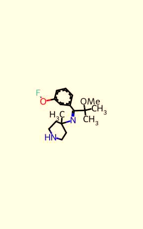 COC(C)(C)C(=NC1(C)CCNCC1)c1cccc(OF)c1